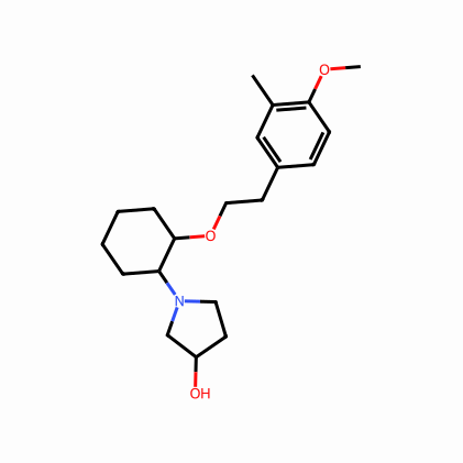 COc1ccc(CCOC2CCCCC2N2CCC(O)C2)cc1C